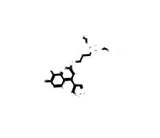 CCOP(=O)(CCCNc1cc(-c2cn[nH]c2)c2ccc(Cl)c(Cl)c2n1)OCC